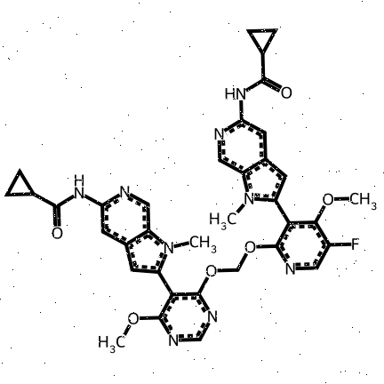 COc1ncnc(OCOc2ncc(F)c(OC)c2-c2cc3cc(NC(=O)C4CC4)ncc3n2C)c1-c1cc2cc(NC(=O)C3CC3)ncc2n1C